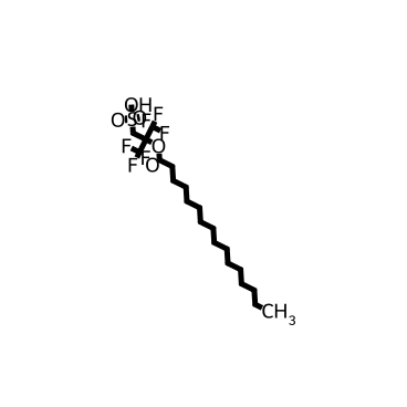 CCCCCCCCCCCCCCCC(=O)OC(CS(=O)(=O)O)(C(F)(F)F)C(F)(F)F